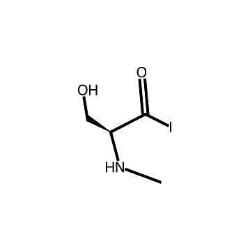 CN[C@@H](CO)C(=O)I